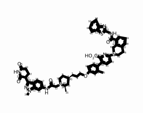 Cc1cc(OCCC[C@@H]2CCN(CC(=O)Nc3ccc4c(C5CCC(=O)NC5=O)nn(C)c4c3)[C@H](C)C2)ccc1-c1ccc(N2CCc3cccc(C(=O)Nc4nc5ccccc5s4)c3C2)nc1C(=O)O